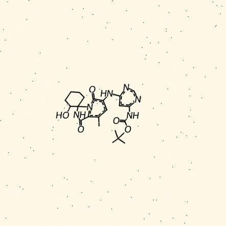 Cc1cc(Nc2cc(NC(=O)OC(C)(C)C)ncn2)c(=O)n2c1C(=O)NC21CCCCC1O